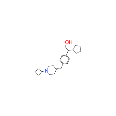 OCC(c1ccc(C=C2CCN(C3CCC3)CC2)cc1)C1CCCC1